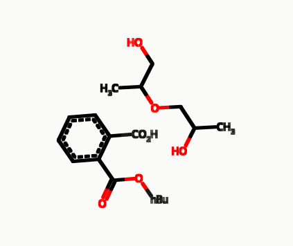 CC(O)COC(C)CO.CCCCOC(=O)c1ccccc1C(=O)O